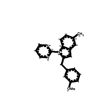 COc1cccc(Cc2cc3cc(C)ccc3n2-c2ncccn2)c1